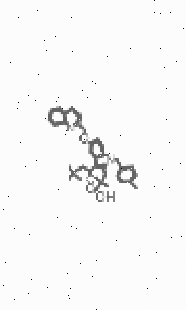 Cc1ccc(Cn2c(CC(C)(C)C(=O)O)c(C(=O)CC(C)(C)C)c3cc(OCc4ccc5ccccc5n4)ccc32)cc1